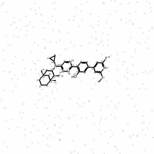 CSc1cc(-c2ccc(-c3ncc(N(C4CC4)[C@@H]4C[C@@]5(C)CCC[C@](C)(C5)[C@@H]4F)nn3)c(O)c2)cc(F)n1